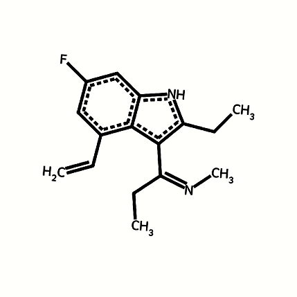 C=Cc1cc(F)cc2[nH]c(CC)c(/C(CC)=N\C)c12